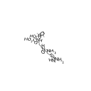 Cc1c(C(O)C(NC(=O)CCCCNC(=O)C(N)CC2=CCN(C(=N)N)C2)C(=O)O)oc2c(C)cccc12